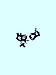 C=C1CC[C@]23OC(C)(C)O[C@@H]2[C@@H](c2ncc4cc[nH]c4n2)O[C@H]13